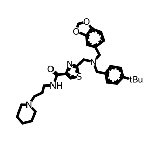 CC(C)(C)c1ccc(CN(Cc2ccc3c(c2)OCO3)Cc2nc(C(=O)NCCCN3CCCCC3)cs2)cc1